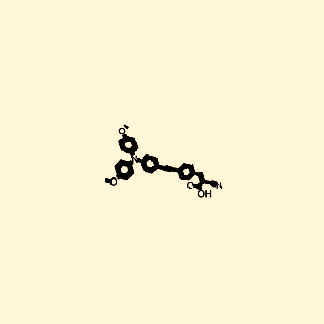 COc1ccc(N(c2ccc(C#Cc3ccc(C=C(C#N)C(=O)O)cc3)cc2)c2ccc(OC)cc2)cc1